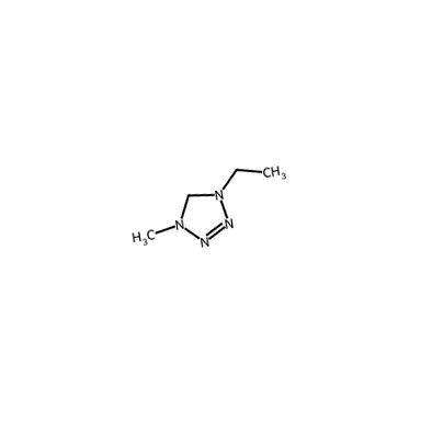 CCN1CN(C)N=N1